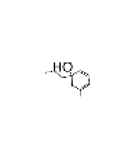 CCCC1(O)C=CC=C(C)C1